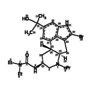 CCCN1C[C@@H](NC(=O)N(CC)CC)C[C@@H]2c3cc(C(C)(C)O)cc4[nH]c(Br)c(c34)C[C@H]21